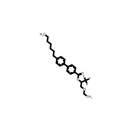 CCCCCCCc1ccc(-c2ccc(C(=O)OC(COCC)C(F)(F)F)cc2)cc1